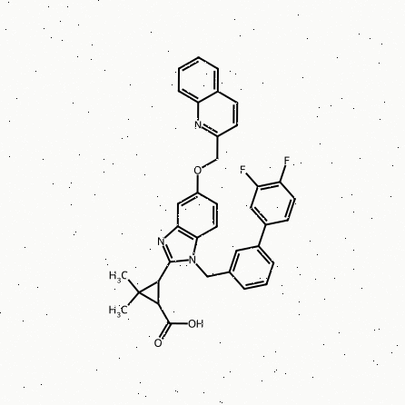 CC1(C)C(C(=O)O)C1c1nc2cc(OCc3ccc4ccccc4n3)ccc2n1Cc1cccc(-c2ccc(F)c(F)c2)c1